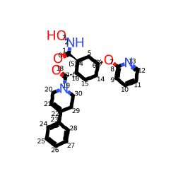 O=C(NO)[C@H]1C[C@H](Oc2ccccn2)CC[C@@H]1C(=O)N1CC=C(c2ccccc2)CC1